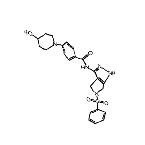 O=C(Nc1n[nH]c2c1CN(S(=O)(=O)c1ccccc1)C2)c1ccc(N2CCC(O)CC2)cc1